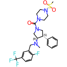 CN(Cc1cc(C(F)(F)F)ccc1F)[C@H]1CN(C(=O)N2CCN(S(C)(=O)=O)CC2)C[C@@H]1c1ccccc1